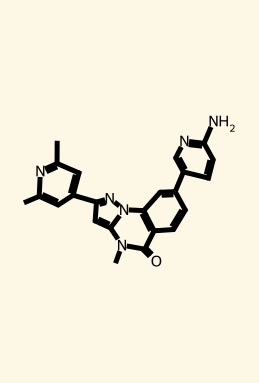 Cc1cc(-c2cc3n(C)c(=O)c4ccc(-c5ccc(N)nc5)cc4n3n2)cc(C)n1